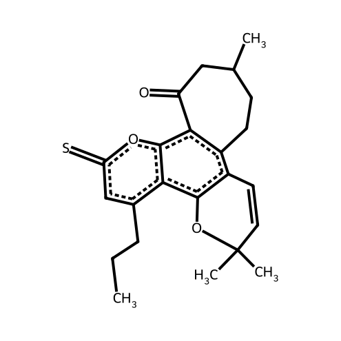 CCCc1cc(=S)oc2c3c(c4c(c12)OC(C)(C)C=C4)CCC(C)CC3=O